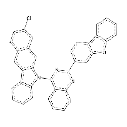 Clc1ccc2cc3c4ccccc4n(-c4nc(-c5ccc6c(c5)oc5ccccc56)nc5ccccc45)c3cc2c1